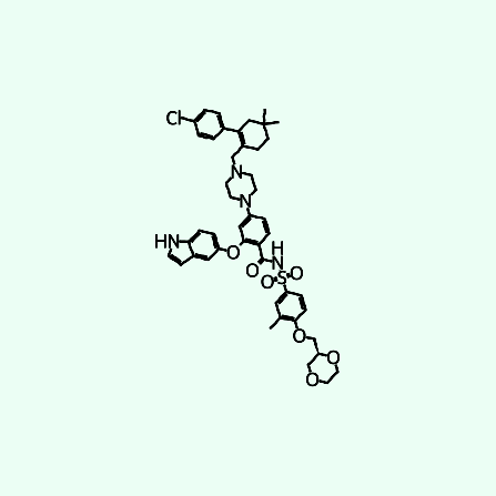 Cc1cc(S(=O)(=O)NC(=O)c2ccc(N3CCN(CC4=C(c5ccc(Cl)cc5)CC(C)(C)CC4)CC3)cc2Oc2ccc3[nH]ccc3c2)ccc1OC[C@@H]1COCCO1